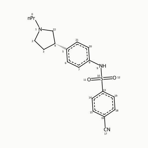 CCCN1CC[C@@H](c2ccc(NS(=O)(=O)c3ccc(C#N)cc3)cc2)C1